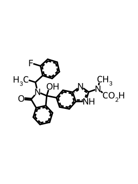 CC(c1ccccc1F)N1C(=O)c2ccccc2C1(O)c1ccc2[nH]c(N(C)C(=O)O)nc2c1